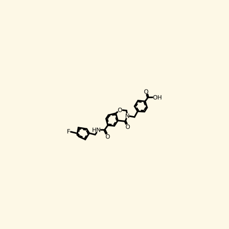 O=C(O)c1ccc(CN2COc3ccc(C(=O)NCc4ccc(F)cc4)cc3C2=O)cc1